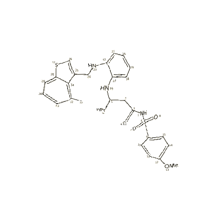 CCCC(CC(=O)NS(=O)(=O)c1ccc(OC)cc1)Nc1ccccc1NCc1csc2cccc(C)c12